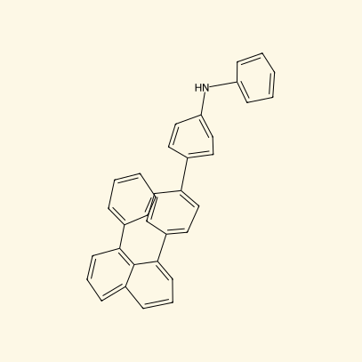 c1ccc(Nc2ccc(-c3ccc(-c4cccc5cccc(-c6ccccc6)c45)cc3)cc2)cc1